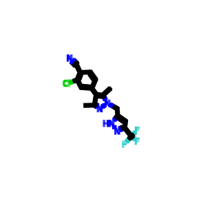 Cc1nn(Cc2cc(C(F)(F)F)n[nH]2)c(C)c1-c1ccc(C#N)c(Cl)c1